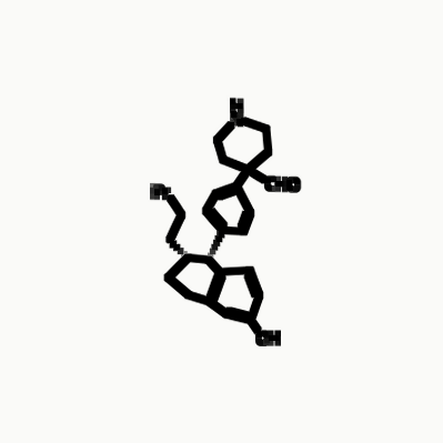 CC(C)CC[C@H]1CCc2cc(O)ccc2[C@H]1c1ccc(C2(C=O)CCNCC2)cc1